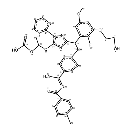 COc1cc(OCCO)c(F)c(C(Nc2ccc(/C(N)=N/C(=O)c3ccc(C)cc3)cc2)c2nc(OC(C)OC(=O)O)n(-c3ncccn3)n2)c1